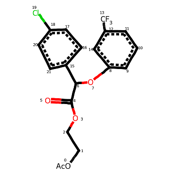 CC(=O)OCCOC(=O)C(Oc1cccc(C(F)(F)F)c1)c1ccc(Cl)cc1